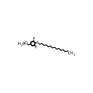 CCCCCCCCCCCCCCCSc1c(F)cc(COC)cc1F